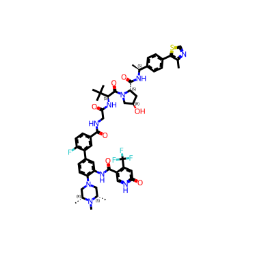 Cc1ncsc1-c1ccc([C@H](C)NC(=O)[C@@H]2C[C@@H](O)CN2C(=O)[C@@H](NC(=O)CNC(=O)c2ccc(F)c(-c3ccc(N4C[C@@H](C)N(C)[C@@H](C)C4)c(NC(=O)c4c[nH]c(=O)cc4C(F)(F)F)c3)c2)C(C)(C)C)cc1